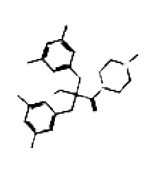 Cc1cc(C)cc(CC(CN)(Cc2cc(C)cc(C)c2)C(=O)N2CCN(C)CC2)c1